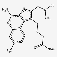 CCN(C)Cc1nc2c(N)nc3cc(C(F)(F)F)ccc3c2n1CCCC(=O)NC